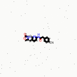 COc1nc(NC(=O)Cc2ccc(C#N)cc2)ccc1C[C@H]1COC(=O)N1